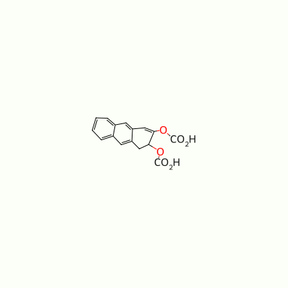 O=C(O)OC1=Cc2cc3ccccc3cc2CC1OC(=O)O